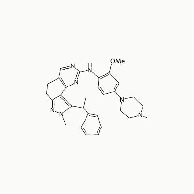 COc1cc(N2CCN(C)CC2)ccc1Nc1ncc2c(n1)-c1c(nn(C)c1C(C)c1ccccc1)CC2